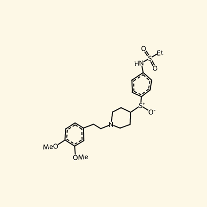 CCS(=O)(=O)Nc1ccc([S+]([O-])C2CCN(CCc3ccc(OC)c(OC)c3)CC2)cc1